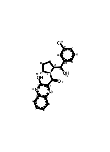 O=C(c1nc2ccccc2nc1O)N1CCCC1C(O)c1cccc(Cl)c1